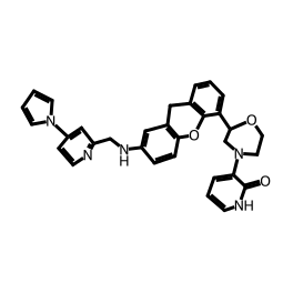 O=c1[nH]cccc1N1CCOC(c2cccc3c2Oc2ccc(NCc4cc(-n5cccc5)ccn4)cc2C3)C1